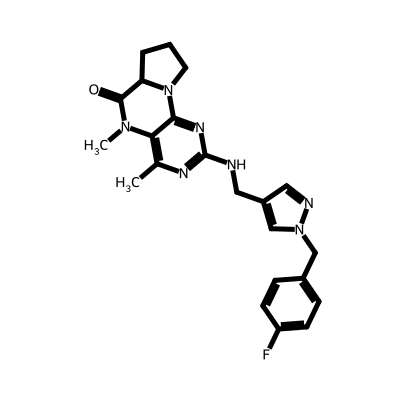 Cc1nc(NCc2cnn(Cc3ccc(F)cc3)c2)nc2c1N(C)C(=O)C1CCCN21